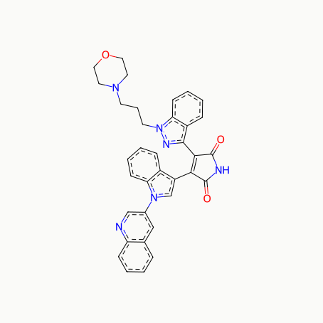 O=C1NC(=O)C(c2nn(CCCN3CCOCC3)c3ccccc23)=C1c1cn(-c2cnc3ccccc3c2)c2ccccc12